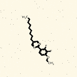 CCCCCCCCCc1cnc(-c2ccc(OCC)c(F)c2F)nc1